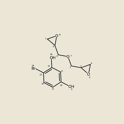 C(OCC1CO1)C1CO1.Oc1ccc(Br)c(O)c1